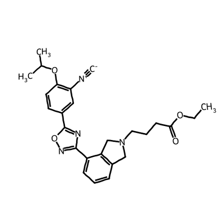 [C-]#[N+]c1cc(-c2nc(-c3cccc4c3CN(CCCC(=O)OCC)C4)no2)ccc1OC(C)C